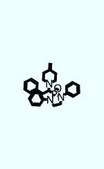 C=C1CCN(C(Cc2ccccc2)P2(=O)N(c3ccccc3)CCN2c2ccccc2)CC1